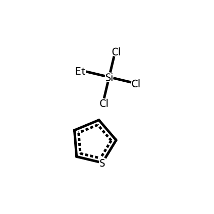 CC[Si](Cl)(Cl)Cl.c1ccsc1